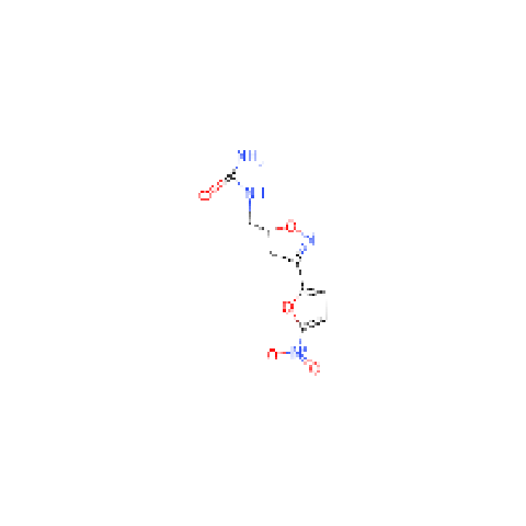 NC(=O)NCC1CC(c2ccc([N+](=O)[O-])o2)=NO1